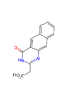 CCOC(=O)Cc1nc2cc3ccccc3cc2c(=O)[nH]1